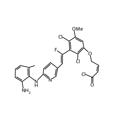 COc1cc(OC/C=C\C(=O)Cl)c(Cl)c(/C(F)=C/c2ccc(Nc3c(C)cccc3N)nc2)c1Cl